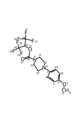 COc1ccc(N2CCN(C(=O)OC(C(F)(F)F)C(F)(F)F)CC2)cc1